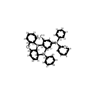 Cc1cc(N(c2ccccc2)c2ccccc2)cc2c1B1c3ccccc3Oc3cccc(c31)N2c1ccccc1